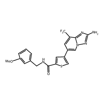 COc1cccc(CNC(=O)c2cc(-c3cc(C(F)(F)F)c4nc(N)nn4c3)cs2)c1